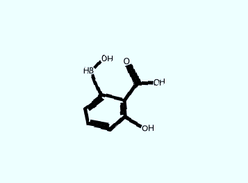 O=C(O)c1c(O)cccc1BO